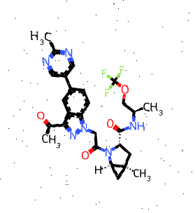 CC(=O)c1nn(CC(=O)N2[C@H](C(=O)N[C@H](C)COC(F)(F)F)C[C@@]3(C)C[C@@H]23)c2ccc(-c3cnc(C)nc3)cc12